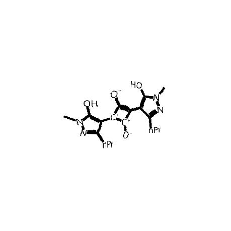 CCCc1nn(C)c(O)c1-c1c([O-])[c+](-c2c(CCC)nn(C)c2O)[c+]1[O-]